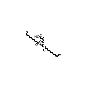 CC/C=C\CCCCCCCC(=O)OCC(COC(=O)CCCCCCC/C=C\CC)OC(=O)CC(C)CC(=O)O